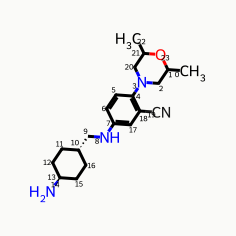 CC1CN(c2ccc(NC[C@H]3CC[C@H](N)CC3)cc2C#N)CC(C)O1